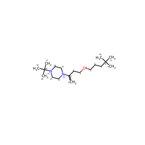 C=C(CCOCCCC(C)(C)C)N1CCN(C(C)(C)C)CC1